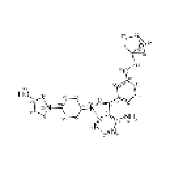 Nc1ncnc2c1c(-c1cccc(OCC34CCC(CC3)O4)c1)cn2C1CCC(N2CCC(O)C2)CC1